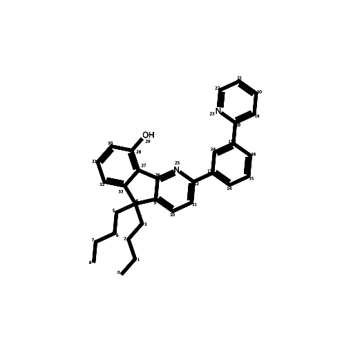 CCCCC1(CCCC)c2ccc(-c3cccc(-c4ccccn4)c3)nc2-c2c(O)cccc21